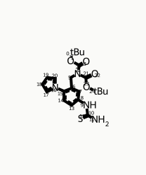 CC(C)(C)OC(=O)N(Cc1cc(NC(N)=S)ccc1-n1cccc1)C(=O)OC(C)(C)C